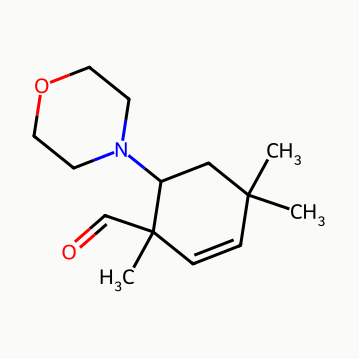 CC1(C)C=CC(C)(C=O)C(N2CCOCC2)C1